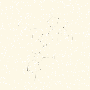 COC1(OC)COC2C(F)CN(C(=O)C(CC(C)C)NC(=O)c3oc4ccc(O)cc4c3C)C21